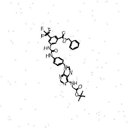 CC(C)(C)OC(=O)CNc1ncnc2c1ncn2-c1ccc(NC(=O)Nc2cc(C(=O)OCc3ccccc3)cc(C(F)(F)F)c2)cc1